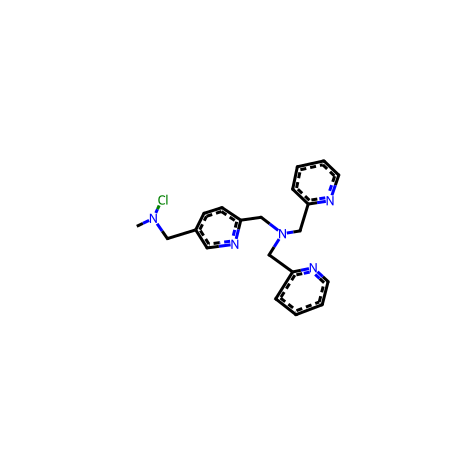 CN(Cl)Cc1ccc(CN(Cc2ccccn2)Cc2ccccn2)nc1